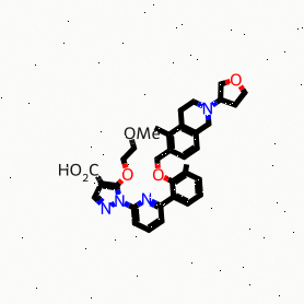 COCCOc1c(C(=O)O)cnn1-c1cccc(-c2cccc(C)c2OCc2ccc3c(c2C)CCN(C2CCOC2)C3)n1